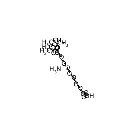 CCC(C)c1ccc(OCCOCCOCCOCCOCCOCCOCCOCCOS(=O)(=O)O)c(C(C)CC)c1C(C)CC.N